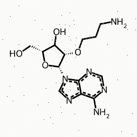 NCCCO[C@H]1C(O)[C@@H](CO)O[C@H]1n1cnc2c(N)ncnc21